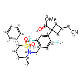 COC(=O)C1(c2cc(F)c(CN3[C@@H](C)CC[C@H](c4ccccc4)S3(=O)=O)cc2F)CC(CC#N)C1